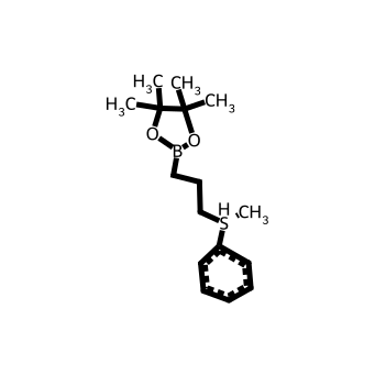 C[SH](CCCB1OC(C)(C)C(C)(C)O1)c1ccccc1